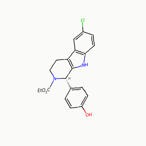 CCOC(=O)N1CCc2c([nH]c3ccc(Cl)cc23)[C@@H]1c1ccc(O)cc1